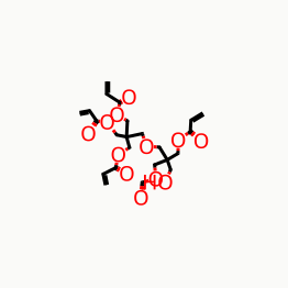 C=CC(=O)OCC(CO)(COC=O)COCC(COC(=O)C=C)(COC(=O)C=C)COC(=O)C=C